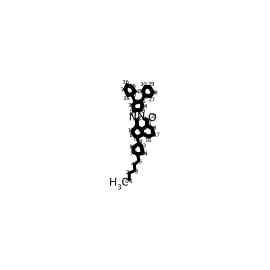 CCCCCCc1ccc(-c2ccc3c4c2cccc4c(=O)n2c4cc(-c5ccccc5)c(-c5ccccc5)cc4nc32)cc1